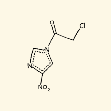 O=C(CCl)n1cnc([N+](=O)[O-])c1